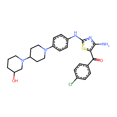 Nc1nc(Nc2ccc(N3CCC(N4CCCC(O)C4)CC3)cc2)sc1C(=O)c1ccc(Cl)cc1